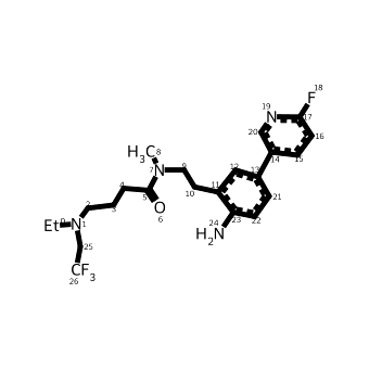 CCN(CCCC(=O)N(C)CCc1cc(-c2ccc(F)nc2)ccc1N)CC(F)(F)F